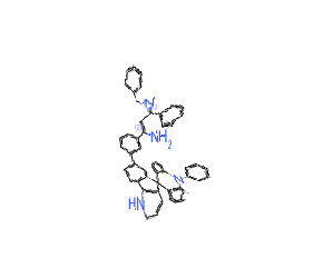 N/C(=C\C(=N/Cc1ccccc1)c1ccccc1)c1cccc(-c2ccc3c(c2)C2(C4=C3NCC=C4)c3ccccc3N(c3ccccc3)c3ccccc32)c1